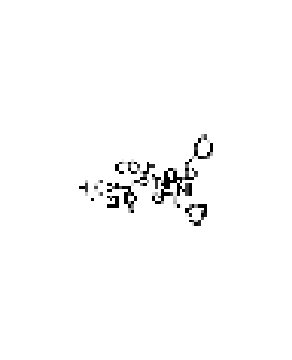 C[S+](C)CC(=O)CCC(NC(=O)C(Cc1ccccc1)NC(=O)OCc1ccccc1)C(=O)O